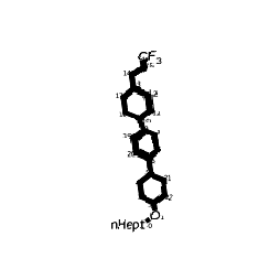 CCCCCCCOC1CCC(c2ccc(C3CCC(/C=C/C(F)(F)F)CC3)cc2)CC1